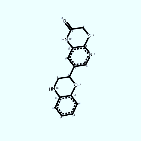 O=C1CSc2ncc(C3CNc4c[c]ccc4O3)cc2N1